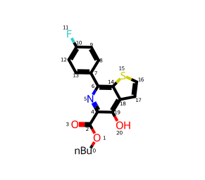 CCCCOC(=O)c1nc(-c2ccc(F)cc2)c2sccc2c1O